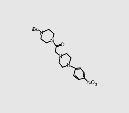 CCC(C)N1CCN(C(=O)CN2CCN(c3ccc([N+](=O)[O-])cc3)CC2)CC1